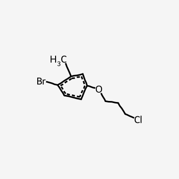 Cc1cc(OCCCCl)ccc1Br